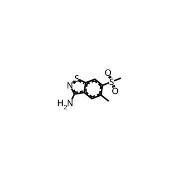 Cc1cc2c(N)nsc2cc1S(C)(=O)=O